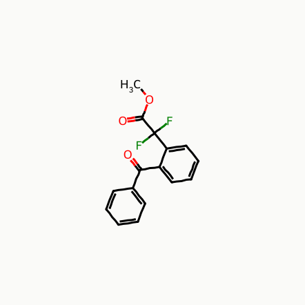 COC(=O)C(F)(F)c1ccccc1C(=O)c1ccccc1